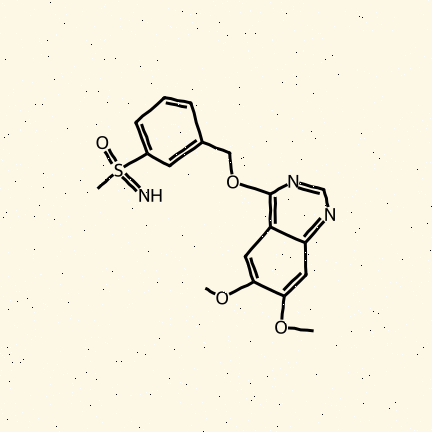 COc1cc2ncnc(OCc3cccc(S(C)(=N)=O)c3)c2cc1OC